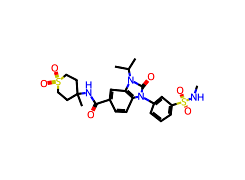 CNS(=O)(=O)c1cccc(-n2c(=O)n(C(C)C)c3cc(C(=O)NC4(C)CCS(=O)(=O)CC4)ccc32)c1